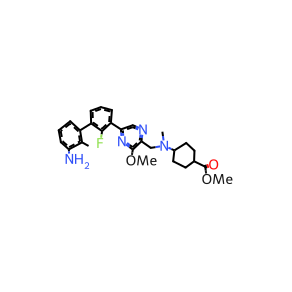 COC(=O)C1CCC(N(C)Cc2ncc(-c3cccc(-c4cccc(N)c4C)c3F)nc2OC)CC1